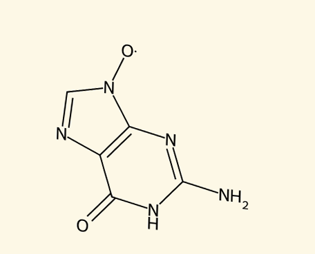 Nc1nc2c(ncn2[O])c(=O)[nH]1